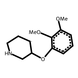 COc1cccc(OC2[CH]CCNC2)c1OC